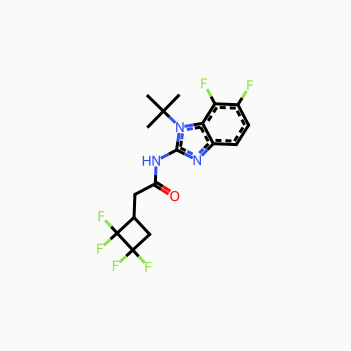 CC(C)(C)n1c(NC(=O)CC2CC(F)(F)C2(F)F)nc2ccc(F)c(F)c21